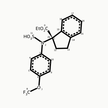 CCOC(=O)[C@]1(N(c2ccc(OC(F)(F)F)cc2)S(=O)(=O)O)CCc2ccccc21